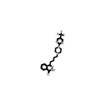 O=c1[nH]nc(CCCCN2CCN(c3ncc(C(F)(F)F)cn3)CC2)c2ccccc12